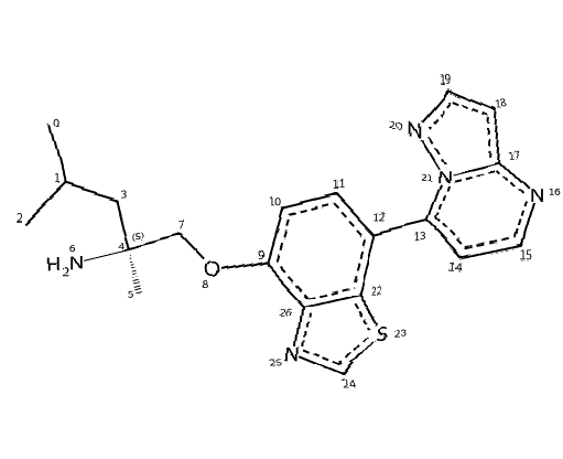 CC(C)C[C@](C)(N)COc1ccc(-c2ccnc3ccnn23)c2scnc12